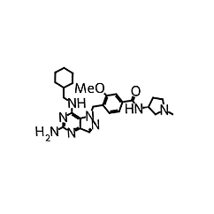 COc1cc(C(=O)N[C@H]2CCN(C)C2)ccc1Cn1ncc2nc(N)nc(NCC3CCCCC3)c21